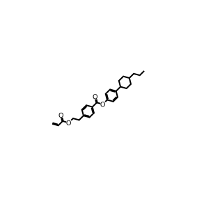 C=CC(=O)OCCc1ccc(C(=O)Oc2ccc(C3CCC(CCC)CC3)cc2)cc1